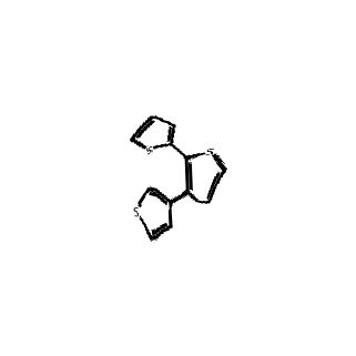 c1csc(-c2sccc2-c2ccsc2)c1